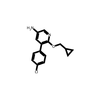 Nc1cnc(OCC2CC2)c(-c2ccc(Cl)cc2)c1